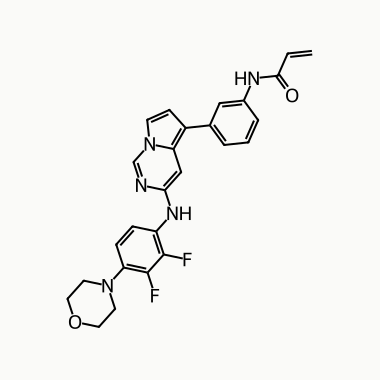 C=CC(=O)Nc1cccc(-c2ccn3cnc(Nc4ccc(N5CCOCC5)c(F)c4F)cc23)c1